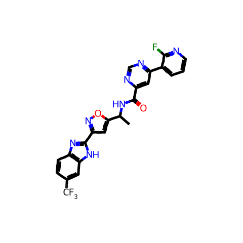 CC(NC(=O)c1cc(-c2cccnc2F)ncn1)c1cc(-c2nc3ccc(C(F)(F)F)cc3[nH]2)no1